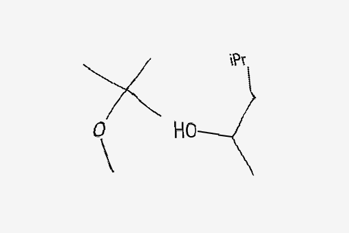 CC(C)CC(C)O.COC(C)(C)C